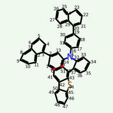 c1cc(-c2cccc3ccccc23)cc(N(c2ccc(-c3cccc4ccccc34)cc2)c2ccccc2-c2cccc3c2sc2ccccc23)c1